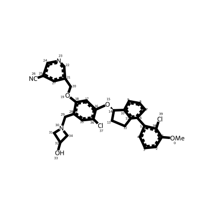 COc1cccc(-c2cccc3c2CC[C@@H]3Oc2cc(OCc3cncc(C#N)c3)c(CN3CC(O)C3)cc2Cl)c1Cl